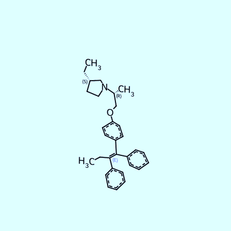 CC/C(=C(/c1ccccc1)c1ccc(OC[C@@H](C)N2CC[C@H](CC)C2)cc1)c1ccccc1